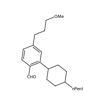 CCCCCC1CCC(c2cc(CCCOC)ccc2C=O)CC1